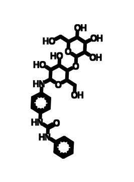 O=C(Nc1ccccc1)Nc1ccc(NC2OC(CO)C(OC3OC(CO)C(O)C(O)C3O)C(O)C2O)cc1